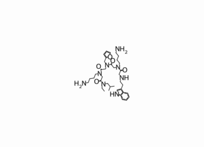 CCN(CC(C)C)C(=O)CN(CCCCN)C(=O)CN(Cc1ccco1)C(=O)CN(CCCCN)C(=O)CNCCc1c[nH]c2ccccc12